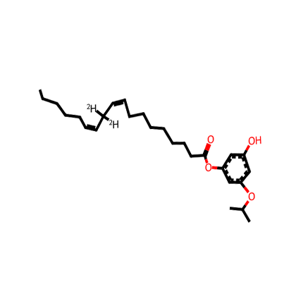 [2H]C([2H])(/C=C\CCCCC)/C=C\CCCCCCCC(=O)Oc1cc(O)cc(OC(C)C)c1